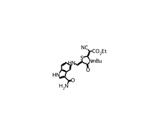 CCCCn1c(=C(C#N)C(=O)OCC)sc(=CNc2ccc3[nH]cc(C(N)=O)c3c2)c1=O